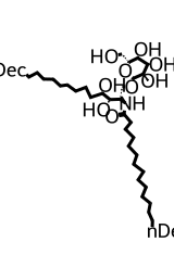 CCCCCCCCCCCCCCCCCCCCCCCC(=O)N[C@@H](CO[C@H]1O[C@H](CO)[C@H](O)[C@H](O)[C@H]1O)[C@H](O)[C@H](O)CCCCCCCCCCCCCCCCCCC